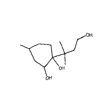 CC1CCC(O)(C(C)(C)CCO)C(O)C1